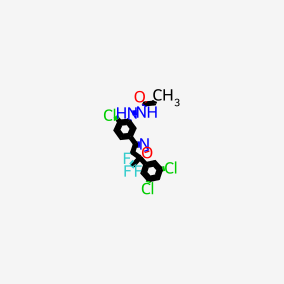 CCC(=O)NNc1cc(C2=NOC(c3cc(Cl)cc(Cl)c3)(C(F)(F)F)C2)ccc1Cl